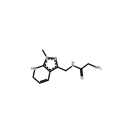 Cn1nc(CNC(=O)CN)c2c1NCC=C2